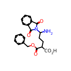 NC(CCC(C(=O)O)C(=O)OCc1ccccc1)N1C(=O)c2ccccc2C1=O